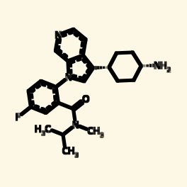 CC(C)N(C)C(=O)c1cc(F)ccc1-n1cc([C@H]2CC[C@@H](N)CC2)c2ccncc21